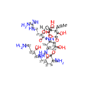 CN[C@@H]1[C@@H](O)[C@@H](O[C@H]2[C@H](NC(=O)[C@@H](O)CCNC(=N)N)C[C@H](N)C(O[C@H]3OC(CNCC(O)CCN)=CC[C@H]3N)[C@@H]2O)OC[C@]1(C)O